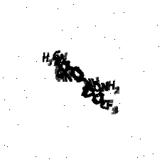 Cc1c[nH]c(C=C2C(=O)Nc3cc(Nc4cccc(-c5ccc(C(F)(F)F)cc5C(N)=O)c4)ccc32)n1